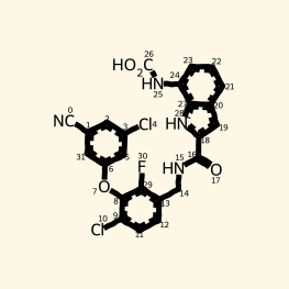 N#Cc1cc(Cl)cc(Oc2c(Cl)ccc(CNC(=O)c3cc4cccc(NC(=O)O)c4[nH]3)c2F)c1